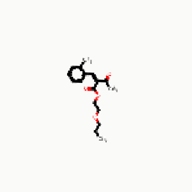 CCCOCCOC(=O)C(=Cc1ccccc1C)C(C)=O